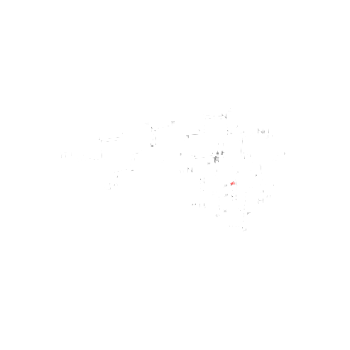 COc1ccc(-c2ccc(-c3cnn4c(N)c(C(C)=O)c([C@@H]5C[C@H]6CC[C@@H](C5)N6C(=O)c5nnc[nH]5)nc34)cn2)cc1Cl